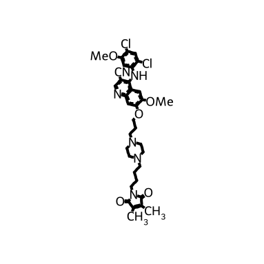 COc1cc(Nc2c(C#N)cnc3cc(OCCCN4CCN(CCCCN5C(=O)C(C)=C(C)C5=O)CC4)c(OC)cc23)c(Cl)cc1Cl